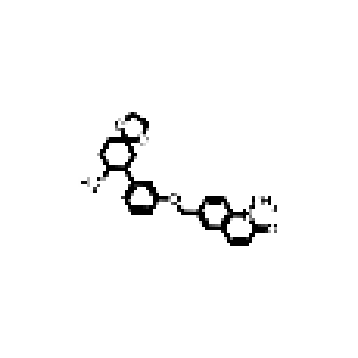 CC1CCC2(CC1c1cccc(OCc3ccc4c(ccc(=O)n4C)c3)c1)OCCO2